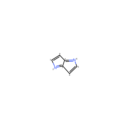 [C]1=CN=C2C=CN=C12